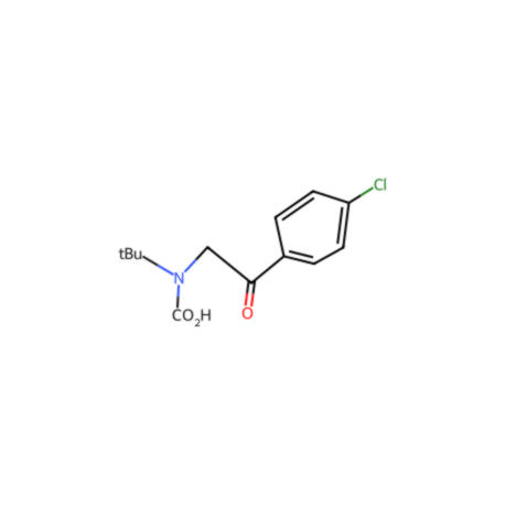 CC(C)(C)N(CC(=O)c1ccc(Cl)cc1)C(=O)O